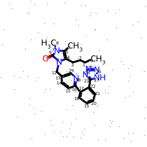 CCCCc1c(C)n(C)c(=O)n1Cc1ccc(-c2ccccc2-c2nnn[nH]2)nc1